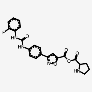 O=C(Nc1ccc(-c2cc(C(=O)OC(=O)C3CCCN3)on2)cc1)Nc1ccccc1F